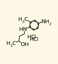 Cc1cc(N)ccc1NCCC(C)O.Cl.Cl